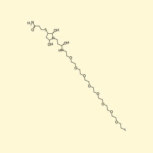 NC(=O)CCSC1CC(O)N(CC[C@@H](O)NCCOCCOCCOCCOCCOCCOCCOCCOCCI)[C@@H]1O